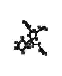 C#CCCC(CCC#C)(CCC#C)c1cc[c]cc1